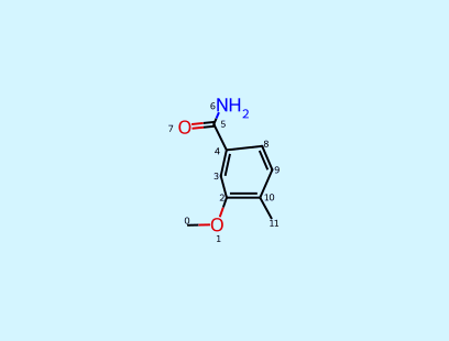 COc1cc(C(N)=O)ccc1C